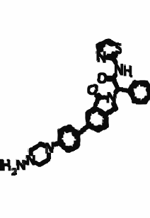 NN1CCN(c2ccc(-c3ccc4c(c3)C(=O)N(C(C(=O)Nc3nccs3)c3ccccc3)C4)cc2)CC1